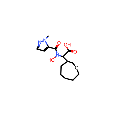 Cn1nccc1C(=O)N(O)C(C(=O)O)C1CCCCCCC1